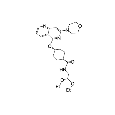 CCOC(CNC(=O)[C@H]1CC[C@@H](Oc2nc(N3CCOCC3)cc3ncccc23)CC1)OCC